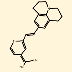 N#CC(C#N)=C1C=COC(C=Cc2cc3c4c(c2)CCCN4CCC3)=C1